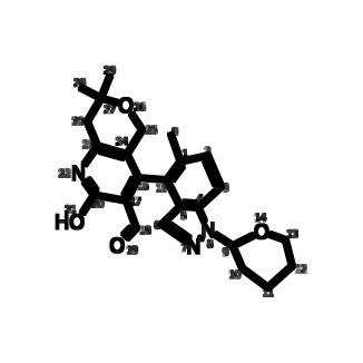 Cc1ccc2c(cnn2C2CCCCO2)c1-c1c(C=O)c(O)nc2c1COC(C)(C)C2